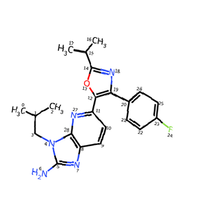 CC(C)Cn1c(N)nc2ccc(-c3oc(C(C)C)nc3-c3ccc(F)cc3)nc21